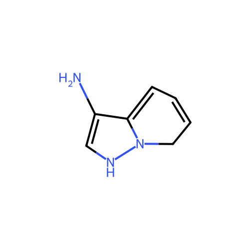 NC1=CNN2CC=CC=C12